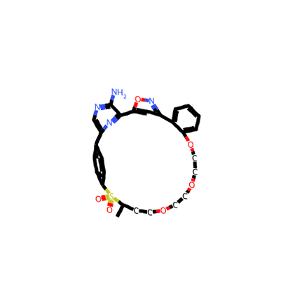 CC1CCOCCOCCOc2ccccc2-c2cc(on2)-c2nc(cnc2N)-c2ccc(cc2)S1(=O)=O